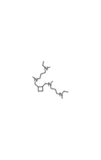 CCN(C)CCCN(C)CC1CCC1CN(C)CCCN(C)CC